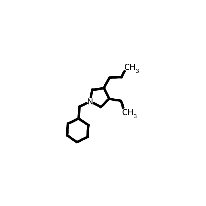 CCCC1CN(CC2CCCCC2)CC1CC